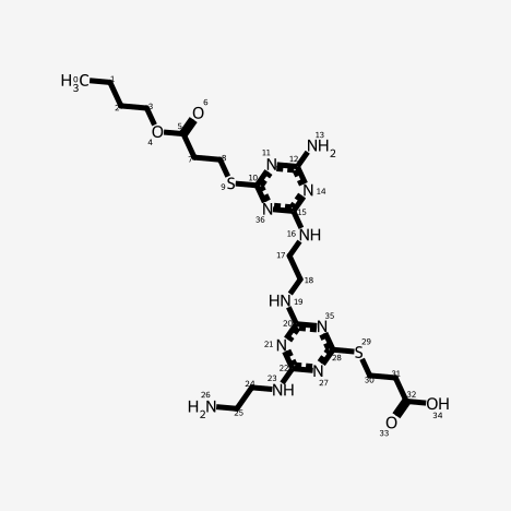 CCCCOC(=O)CCSc1nc(N)nc(NCCNc2nc(NCCN)nc(SCCC(=O)O)n2)n1